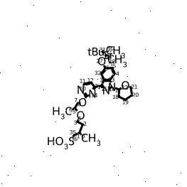 CC(CCOC(C)COc1nccc(-c2nn(C3CCCCO3)c3ccc(O[Si](C)(C)C(C)(C)C)cc23)n1)CS(=O)(=O)O